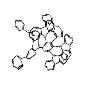 c1ccc(-c2ccc3c(c2)c2cc(-c4ccccc4)ccc2n3-c2nc(-n3c4ccccc4c4cnccc43)c(-n3c4ccccc4c4cnccc43)c(-c3cccc4c3sc3ccccc34)c2-n2c3ccccc3c3cnccc32)cc1